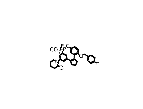 O=C(O)c1cc(C2=C(c3cc(C(F)(F)F)ccc3OCc3ccc(F)cc3)CCC2)cc(N2CCCCC2=O)c1